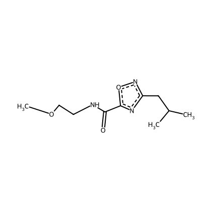 COCCNC(=O)c1nc(CC(C)C)no1